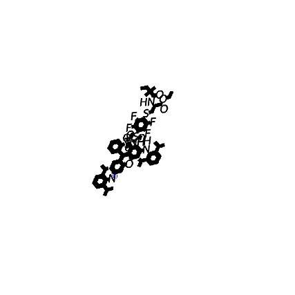 CCOC(=O)C(CSc1c(F)c(F)c(S(=O)(=O)NS(=O)(=O)c2ccccc2-c2c3cc/c(=N\c4c(C(C)C)cccc4C(C)C)cc-3oc3cc(Nc4c(C(C)C)cccc4C(C)C)ccc23)c(F)c1F)NC(=O)C(C)(C)CC